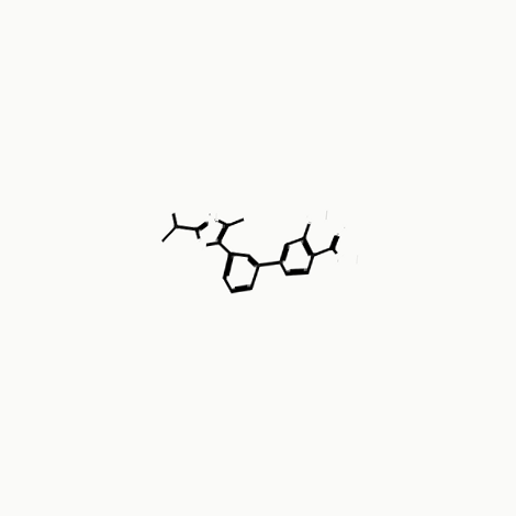 Cc1nc(C(C)C)sc1-c1cccc(-c2ccc(C(=O)O)c(O)c2)c1